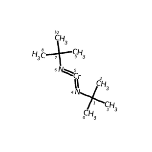 CC(C)(C)[N]=[Cr]=[N]C(C)(C)C